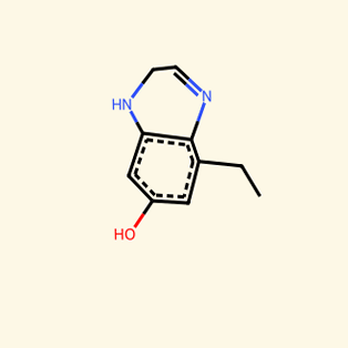 CCc1cc(O)cc2c1N=CCN2